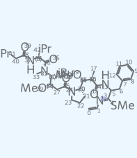 C=C/N=C(\SC)C(Cc1ccccc1)NC(=O)[C@H](C)[C@@H](OC)[C@@H]1CCCN1C(=O)C[C@@H](OC)[C@H]([C@@H](C)CC)N(C)C(=O)[C@@H](NC(=O)CC(C)C)C(C)C